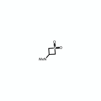 CNC1CS(=O)(=O)C1